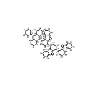 c1ccc(-c2c3ccccc3c(-c3ccc(-c4ccc(-c5cccc6c5oc5ccccc56)c5oc6ccccc6c45)c4oc5ccccc5c34)c3ccccc23)cc1